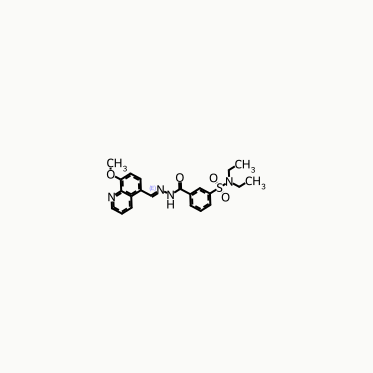 CCN(CC)S(=O)(=O)c1cccc(C(=O)N/N=C/c2ccc(OC)c3ncccc23)c1